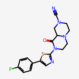 N#CN1CCN2CCN(c3ncc(-c4ccc(F)cc4)s3)C(=O)C2C1